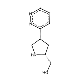 OC[C@H]1CC(c2cc[c]nn2)CN1